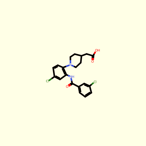 O=C(O)CC1CCN(c2ccc(Cl)cc2NC(=O)c2cccc(Cl)c2)CC1